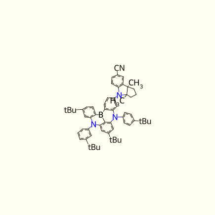 CC(C)(C)c1ccc(N2c3cc(N4c5ccc(C#N)cc5C5(C)CCCC45C)ccc3B3c4ccc(C(C)(C)C)cc4N(c4cccc(C(C)(C)C)c4)c4cc(C(C)(C)C)cc2c43)cc1